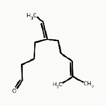 C/C=C(/CCC=C(C)C)CCCC=O